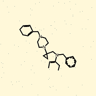 C/C=C(\CC)N(Cc1ccccc1)CC1(N2CCN(CC3=CCCC=C3)CC2)CC1